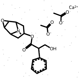 CC(=O)[O-].CC(=O)[O-].CN1C2CC(OC(=O)C(CO)c3ccccc3)CC1C1OC12.[Ca+2]